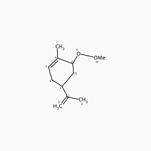 C=C(C)C1CC=C(C)C(OOC)C1